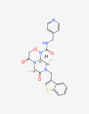 C[C@H]1[C@@H]2N(C(=O)NCc3ccncc3)OCC(=O)N2[C@@H](C)C(=O)N1Cc1csc2ccccc12